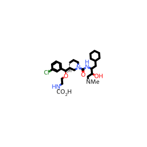 CNCC(O)C(CC1CCCCC1)NC(=O)N1CCC[C@@H]([C@@H](OCCNC(=O)O)c2cccc(Cl)c2)C1